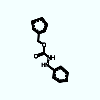 O=C(NNc1ccccc1)OCc1ccccc1